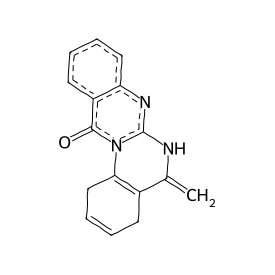 C=C1Nc2nc3ccccc3c(=O)n2C2=C1CC=CC2